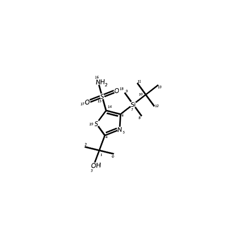 CC(C)(O)c1nc([Si](C)(C)C(C)(C)C)c(S(N)(=O)=O)s1